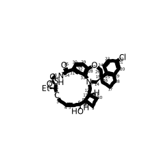 CC[C@@H]1CC/C=C/[C@@H](O)[C@@H]2CC[C@H]2CN2C[C@@]3(CCCc4cc(Cl)ccc43)COc3ccc(cc32)C(=O)NS1(=O)=O